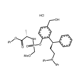 COCP(=O)(N[C@@H](C)C(=O)OC(C)C)Oc1ccc(CO)cc1[C@H](CCN(C(C)C)C(C)C)c1ccccc1.Cl